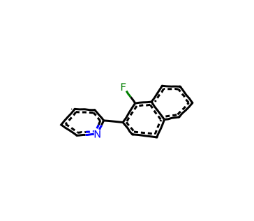 Fc1c(-c2c[c]ccn2)ccc2ccccc12